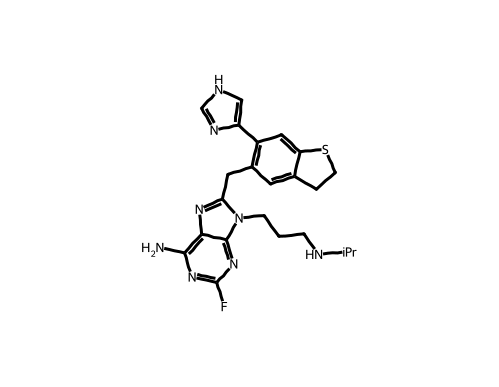 CC(C)NCCCn1c(Cc2cc3c(cc2-c2c[nH]cn2)SCC3)nc2c(N)nc(F)nc21